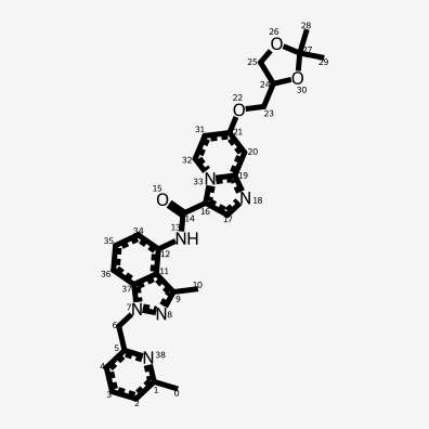 Cc1cccc(Cn2nc(C)c3c(NC(=O)c4cnc5cc(OCC6COC(C)(C)O6)ccn45)cccc32)n1